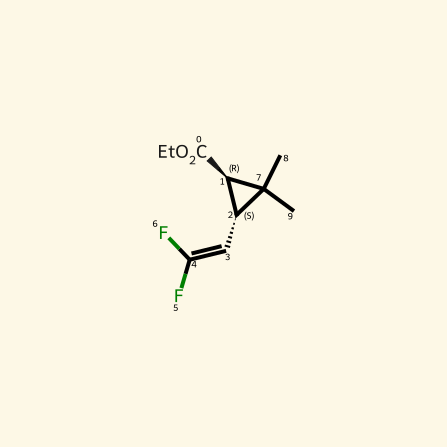 CCOC(=O)[C@@H]1[C@@H](C=C(F)F)C1(C)C